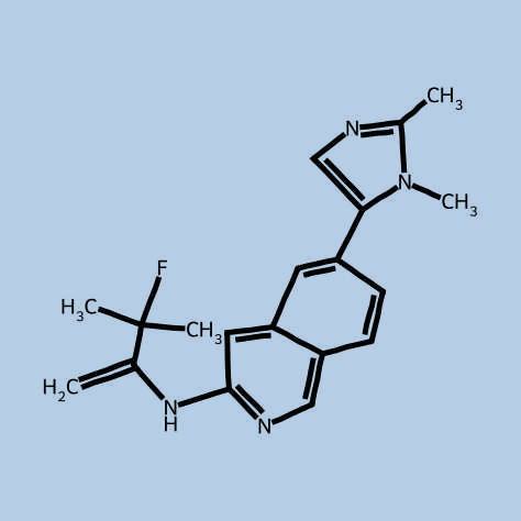 C=C(Nc1cc2cc(-c3cnc(C)n3C)ccc2cn1)C(C)(C)F